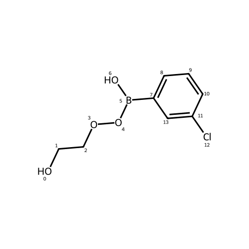 OCCOOB(O)c1cccc(Cl)c1